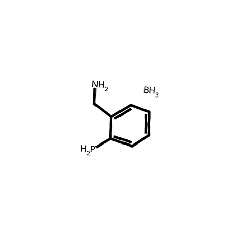 B.NCc1ccccc1P